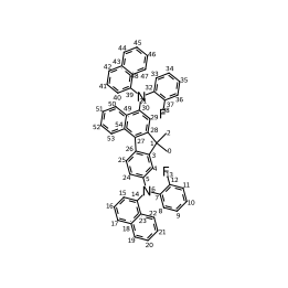 CC1(C)c2cc(N(c3ccccc3F)c3cccc4ccccc34)ccc2-c2c1cc(N(c1ccccc1F)c1cccc3ccccc13)c1ccccc21